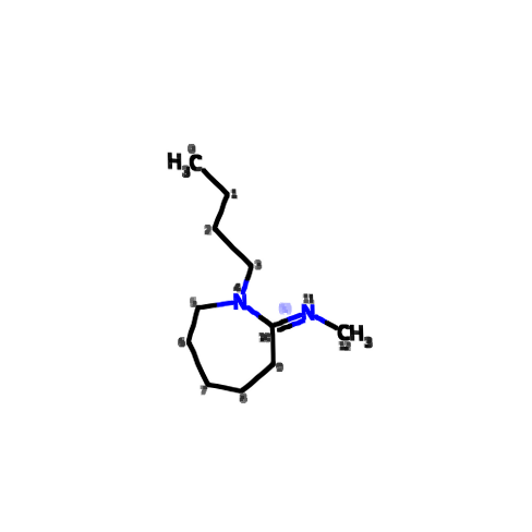 CCCCN1CCCCC/C1=N\C